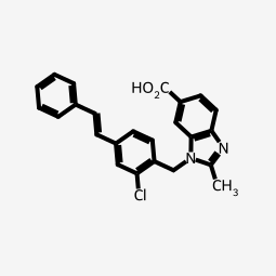 Cc1nc2ccc(C(=O)O)cc2n1Cc1ccc(C=Cc2ccccc2)cc1Cl